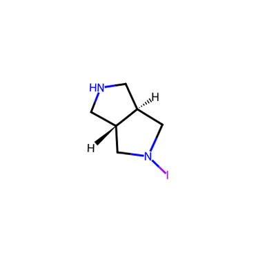 IN1C[C@@H]2CNC[C@H]2C1